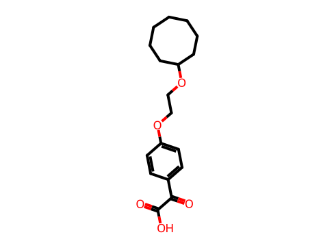 O=C(O)C(=O)c1ccc(OCCOC2CCCCCCC2)cc1